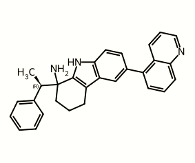 C[C@H](c1ccccc1)C1(N)CCCc2c1[nH]c1ccc(-c3cccc4ncccc34)cc21